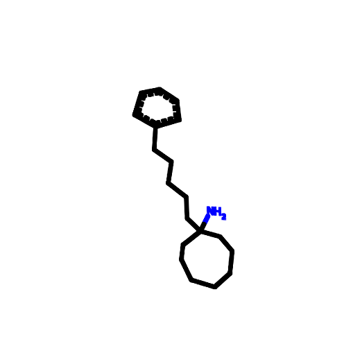 NC1(CCCCCc2ccccc2)CCCCCCC1